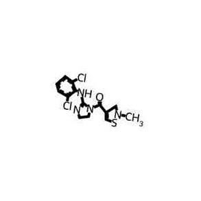 CN1CC(C(=O)N2CCN=C2Nc2c(Cl)cccc2Cl)=CS1